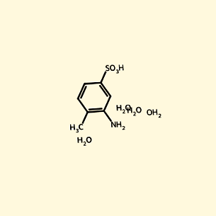 Cc1ccc(S(=O)(=O)O)cc1N.O.O.O.O